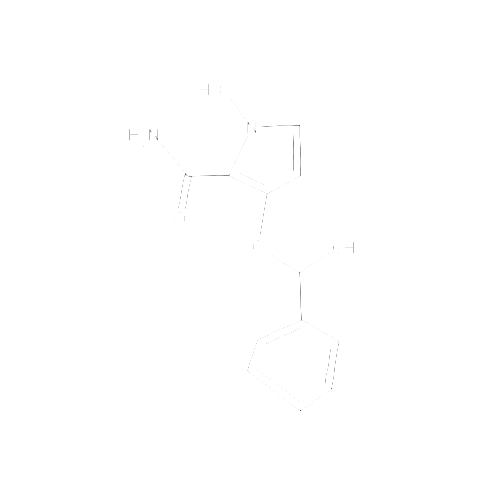 CC(Oc1ccn(C)c1C(N)=O)c1ccccc1